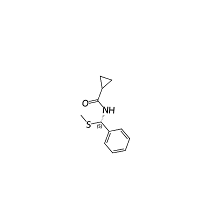 CS[C@H](NC(=O)C1CC1)c1ccccc1